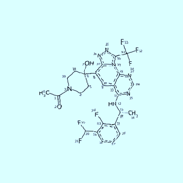 CC(=O)N1CCC(O)(c2cc3c(N[C@H](C)c4cccc(C(F)F)c4F)ncnc3n3c(C(F)(F)F)nnc23)CC1